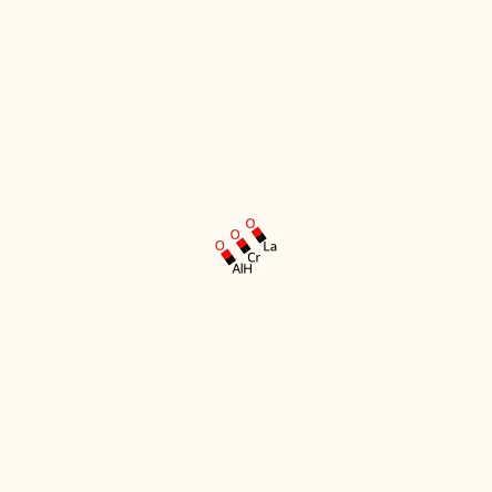 [O]=[AlH].[O]=[Cr].[O]=[La]